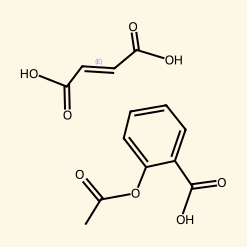 CC(=O)Oc1ccccc1C(=O)O.O=C(O)/C=C/C(=O)O